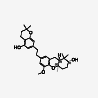 COc1cc(CCc2cc(O)c3c(c2)OC(C)(C)CC3)cc2c1O[C@]1(C)CC[C@@H](O)C(C)(C)[C@H]1C2